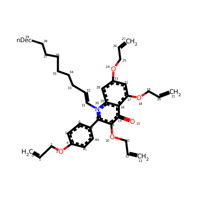 C=CCOc1ccc(-c2c(OCC=C)c(=O)c3c(OCC=C)cc(OCC=C)cc3n2C=CCCCCCCCCCCCCCCCC)cc1